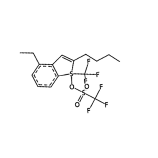 CCCCC1=Cc2c(CC)cccc2S1(OS(=O)(=O)C(F)(F)F)C(F)(F)F